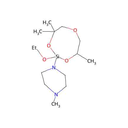 CCO[Si]1(N2CCN(C)CC2)OC(C)COCC(C)(C)O1